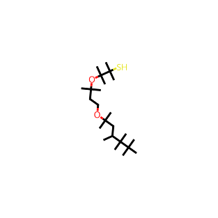 CC(CC(C)(C)OCCC(C)(C)OC(C)(C)C(C)(C)S)C(C)(C)C(C)(C)C